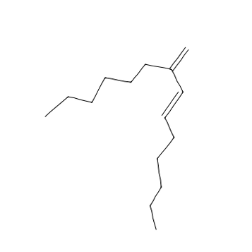 C=C(C=CCCCCC)CCCCCC